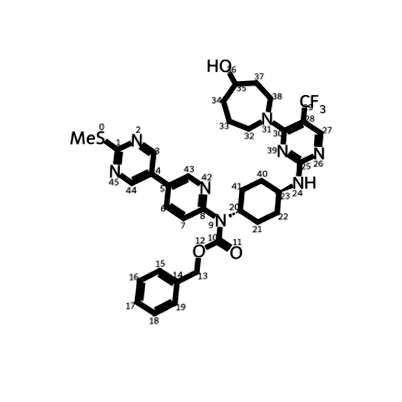 CSc1ncc(-c2ccc(N(C(=O)OCc3ccccc3)[C@H]3CC[C@H](Nc4ncc(C(F)(F)F)c(N5CCCC(O)CC5)n4)CC3)nc2)cn1